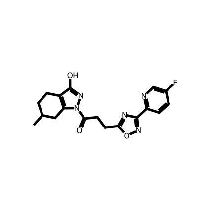 CC1CCc2c(O)nn(C(=O)CCc3nc(-c4ccc(F)cn4)no3)c2C1